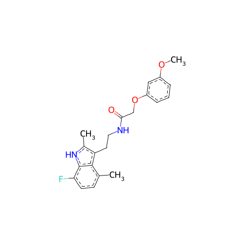 COc1cccc(OCC(=O)NCCc2c(C)[nH]c3c(F)ccc(C)c23)c1